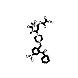 CN1C(=O)[N+](C)([O-])C(OC(=O)C(=O)O)=CC1N1CCN(Cc2ccc([N+](=O)[O-])cc2C(=O)c2ccccc2)CC1